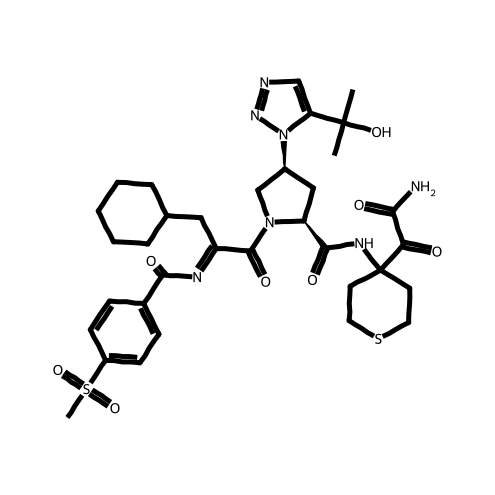 CC(C)(O)c1cnnn1[C@H]1C[C@@H](C(=O)NC2(C(=O)C(N)=O)CCSCC2)N(C(=O)/C(CC2CCCCC2)=N/C(=O)c2ccc(S(C)(=O)=O)cc2)C1